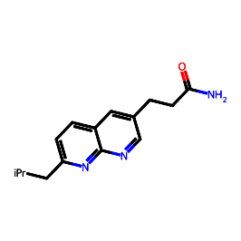 CC(C)Cc1ccc2cc(CCC(N)=O)cnc2n1